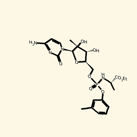 CCOC(=O)[C@H](C)NP(=O)(OC[C@H]1O[C@@H](n2ccc(N)nc2=O)[C@](C)(O)[C@@H]1O)Oc1cccc(C)c1